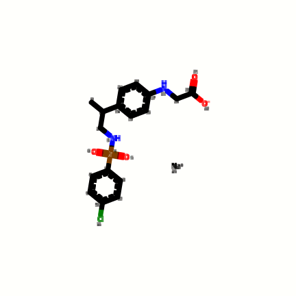 CC(CNS(=O)(=O)c1ccc(Cl)cc1)c1ccc(NCC(=O)[O-])cc1.[Na+]